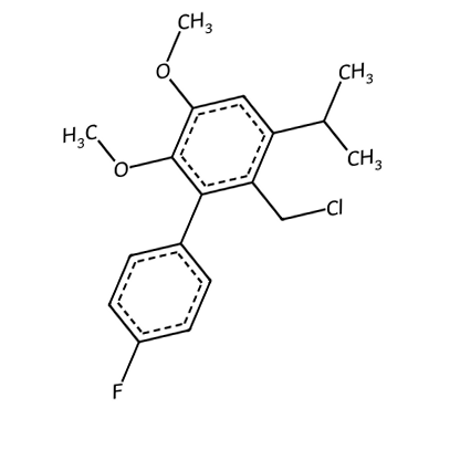 COc1cc(C(C)C)c(CCl)c(-c2ccc(F)cc2)c1OC